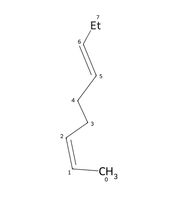 C/C=C\CCC=CCC